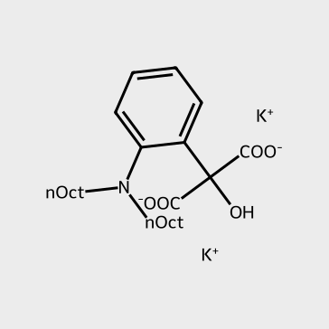 CCCCCCCCN(CCCCCCCC)c1ccccc1C(O)(C(=O)[O-])C(=O)[O-].[K+].[K+]